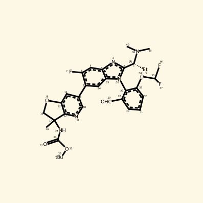 CC[C@H](c1nc2cc(F)c(-c3cnc4c(c3)OCC4(C)NC(=O)OC(C)(C)C)cc2n1-c1c(C=O)cccc1OC(F)F)N(C)C